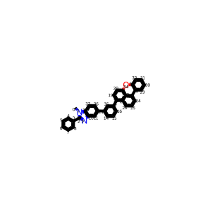 Cn1c(-c2ccccc2)nc2cc(-c3cccc(-c4ccc5c6c(cccc46)-c4ccccc4O5)c3)ccc21